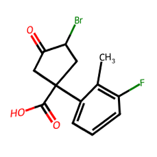 Cc1c(F)cccc1C1(C(=O)O)CC(=O)C(Br)C1